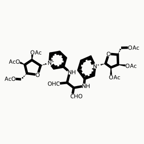 CC(=O)OC[C@H]1O[C@@H]([n+]2cccc(NC(C=O)C(C=O)Nc3ccc[n+]([C@@H]4O[C@H](COC(C)=O)[C@@H](OC(C)=O)[C@H]4OC(C)=O)c3)c2)[C@H](OC(C)=O)[C@@H]1OC(C)=O